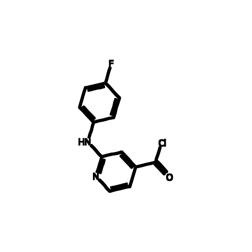 O=C(Cl)c1ccnc(Nc2ccc(F)cc2)c1